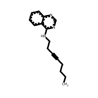 CCCCC#CCCNc1ncnc2ccccc12